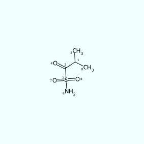 CC(C)C(=O)S(N)(=O)=O